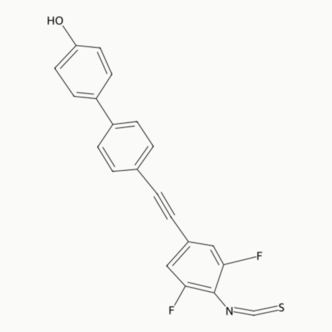 Oc1ccc(-c2ccc(C#Cc3cc(F)c(N=C=S)c(F)c3)cc2)cc1